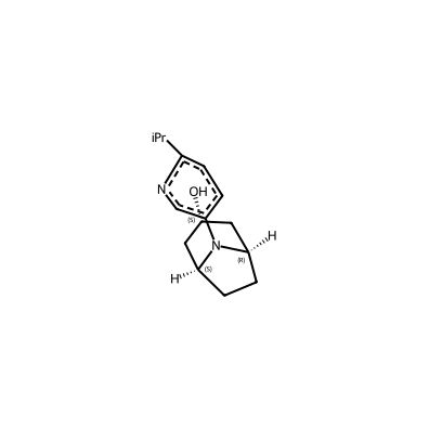 CC(C)c1ccc(N2[C@@H]3CC[C@H]2C[C@H](O)C3)cn1